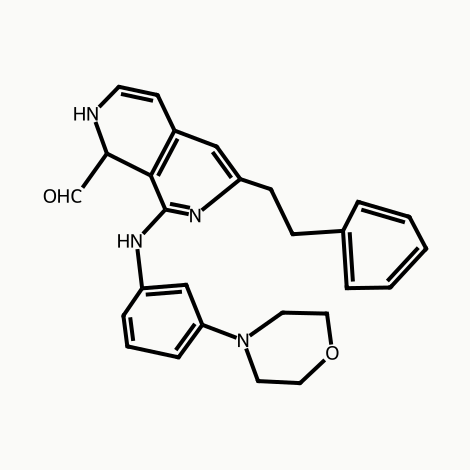 O=CC1NC=Cc2cc(CCc3ccccc3)nc(Nc3cccc(N4CCOCC4)c3)c21